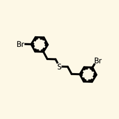 Brc1cccc(CCSCCc2cccc(Br)c2)c1